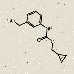 O=C(Nc1c[c]cc(CO)c1)OCC1CC1